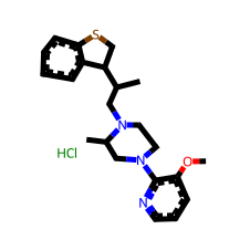 COc1cccnc1N1CCN(CC(C)C2CSc3ccccc32)C(C)C1.Cl